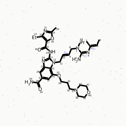 C/C=C(C)/N=C(/N)N(C/C=C/Cn1c(NC(=O)c2oc(C)nc2CC)nc2cc(C(N)=O)cc(OCCCN3CCOCC3)c21)C(C)C